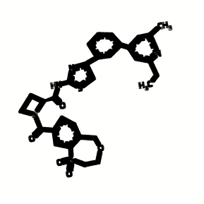 CCc1cc(-c2cccc(-c3csc(NC(=O)[C@@H]4CCN4C(=O)c4ccc5c(c4)S(=O)(=O)CCOC5)n3)c2)cc(C)n1